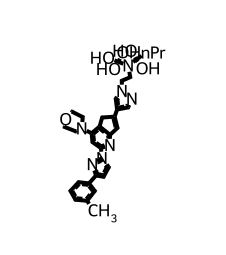 CCCC(O)(O)N(CCn1cc(C2=Cc3nc(-n4ccc(-c5cccc(C)c5)n4)cc(N4CCOCC4)c3C2)cn1)C(O)(O)O